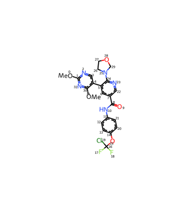 COc1ncc(-c2cc(C(=O)Nc3ccc(OC(F)(F)Cl)cc3)cnc2N2CCOC2)c(OC)n1